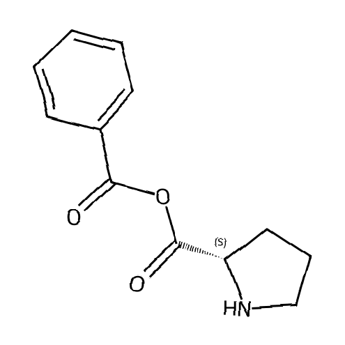 O=C(OC(=O)[C@@H]1CCCN1)c1ccccc1